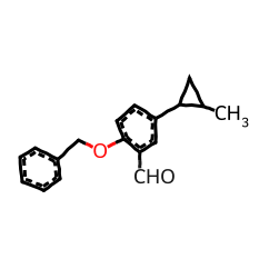 CC1CC1c1ccc(OCc2ccccc2)c(C=O)c1